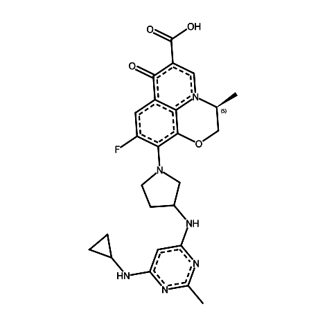 Cc1nc(NC2CC2)cc(NC2CCN(c3c(F)cc4c(=O)c(C(=O)O)cn5c4c3OC[C@@H]5C)C2)n1